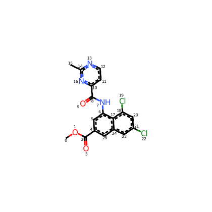 COC(=O)c1cc(NC(=O)c2ccnc(C)n2)c2c(Cl)cc(Cl)cc2c1